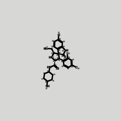 CC(C)(C)C[C@@H]1N[C@@H](C(=O)NC2CCC(O)CC2)[C@H](c2ccc(Cl)cc2F)[C@]12C(=O)Nc1cc(Cl)ccc12